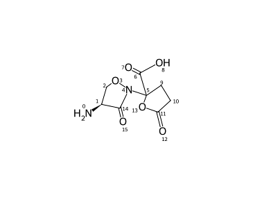 N[C@H]1CON(C2(C(=O)O)CCC(=O)O2)C1=O